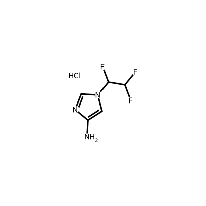 Cl.Nc1cn(C(F)C(F)F)cn1